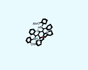 COc1ccccc1NC(c1ccccc1)C(C(=O)C(c1ccc2ccccn12)C(Nc1ccccc1OC)c1ccccc1)c1ccc2ccccn12